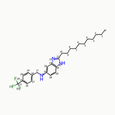 CCCCCCCCCCCc1nc2cc(NCc3ccc(C(F)(F)F)cc3)ccc2[nH]1